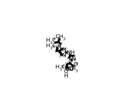 CCC(Cn1ccc2cnc(Nc3cnn(C(CC(C)(C)O)C(=O)O)c3)nc21)C(C)C